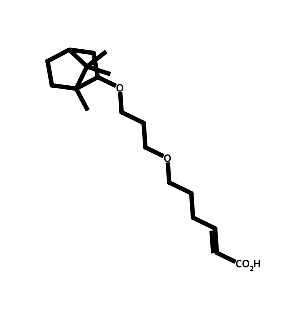 CC1(C)C2CCC1(C)C(OCCCOCCCC=CC(=O)O)C2